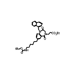 CCOC(=O)CCN1CC(=O)N(Cc2cccc3ccccc23)c2ccc(CCCCCCNC(=O)OC(C)(C)C)cc2C1=O